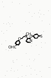 CN(CCOc1ccc(C=O)cc1)c1cccnc1OC1=CCC(=S)C=C1